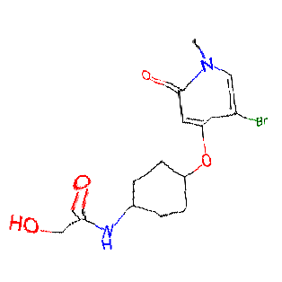 Cn1cc(Br)c(OC2CCC(NC(=O)CO)CC2)cc1=O